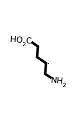 NC[CH]CCC(=O)O